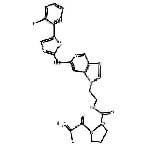 C=C(F)C(=O)N1CCC[C@@H]1C(=O)NCCn1cnc2cnc(Nc3ncc(-c4ncccc4F)s3)cc21